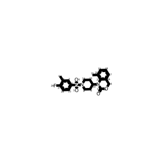 Cc1cc(S(=O)(=O)N2CCC(N3C(=O)OCc4cccc(C)c43)CC2)ccc1F